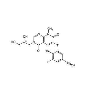 C#Cc1ccc(Nc2c(F)c(=O)n(C)c3ncn(C[C@@H](O)CO)c(=O)c23)c(F)c1